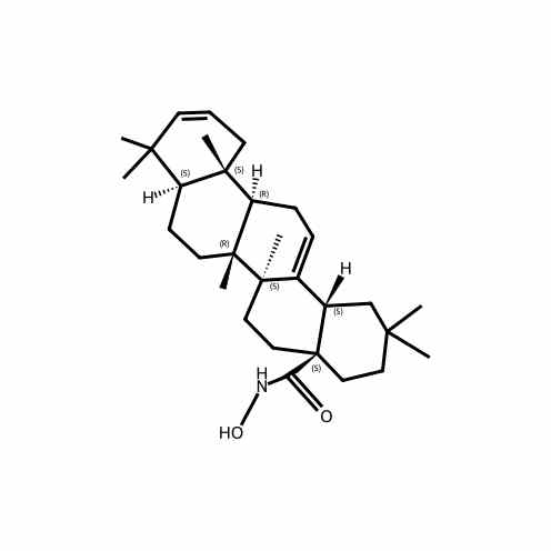 CC1(C)CC[C@]2(C(=O)NO)CC[C@]3(C)C(=CC[C@@H]4[C@@]5(C)CC=CC(C)(C)[C@@H]5CC[C@]43C)[C@@H]2C1